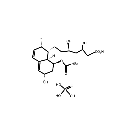 CC[C@H](C)C(=O)O[C@H]1C[C@H](O)C=C2C=C[C@H](C)[C@H](CC[C@@H](O)CC(O)CC(=O)O)[C@H]21.O=P(O)(O)O